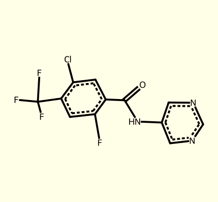 O=C(Nc1cncnc1)c1cc(Cl)c(C(F)(F)F)cc1F